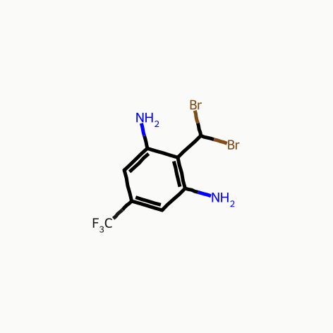 Nc1cc(C(F)(F)F)cc(N)c1C(Br)Br